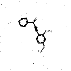 COc1cc(OC(F)(F)F)ccc1C#CC(=O)c1ccccc1